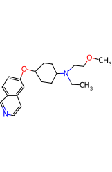 CCN(CCOC)C1CCC(Oc2ccc3cnccc3c2)CC1